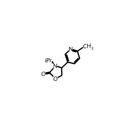 Cc1ccc(C2COC(=O)N2C(C)C)cn1